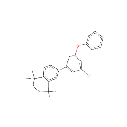 CC1(C)CCC(C)(C)c2cc(C3=CC(Cl)=CC(Oc4ccccc4)C3)ccc21